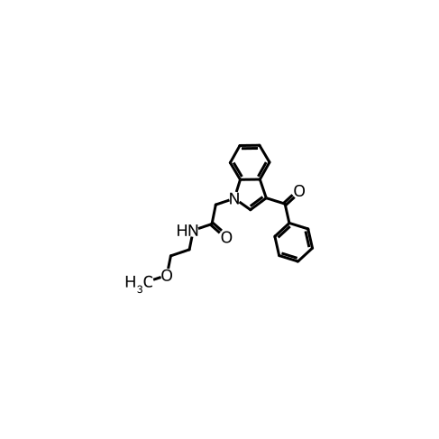 COCCNC(=O)Cn1cc(C(=O)c2ccccc2)c2ccccc21